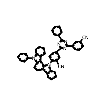 N#Cc1cccc(-c2nc(-c3ccccc3)nc(-c3ccc(-n4c5ccccc5c5ccc6c(c7ccccc7n6-c6ccccc6)c54)c(C#N)c3)n2)c1